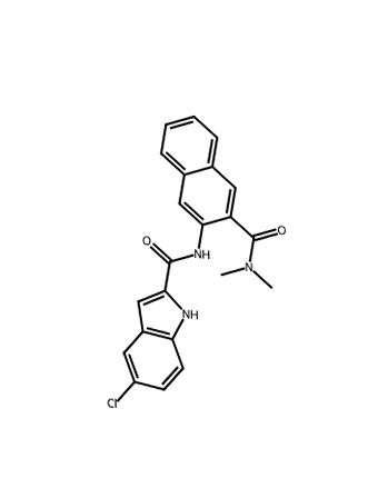 CN(C)C(=O)c1cc2ccccc2cc1NC(=O)c1cc2cc(Cl)ccc2[nH]1